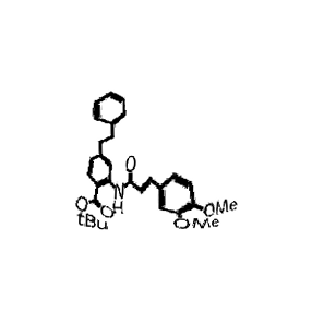 COc1ccc(C=CC(=O)Nc2cc(CCc3ccccc3)ccc2C(=O)OC(C)(C)C)cc1OC